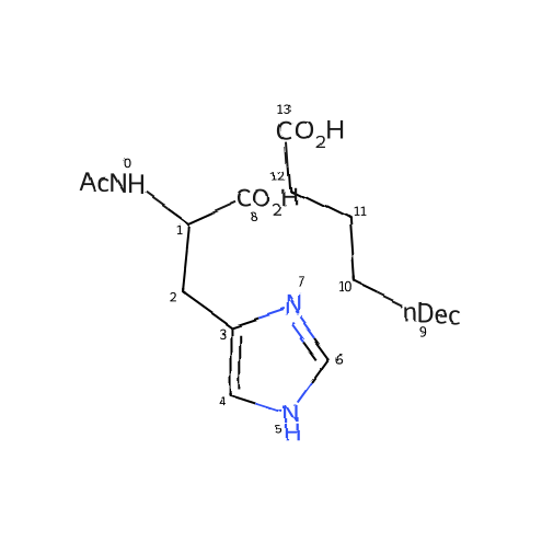 CC(=O)NC(Cc1c[nH]cn1)C(=O)O.CCCCCCCCCCCCCC(=O)O